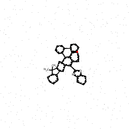 CC1(C)c2ccccc2-c2cc3c(-c4nc5ccccc5o4)c4ccccc4c(-c4ccccc4-c4ccccc4)c3cc21